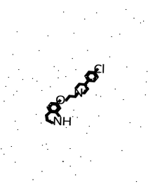 Clc1ccc(C2CCN(CCCOc3ccc4c(c3)CNCCC4)CC2)cc1